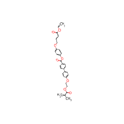 C=COC(=O)CCCOc1ccc(OC(=O)c2ccc(-c3ccc(OCCOC(=O)C(=C)C)cc3)cc2)cc1